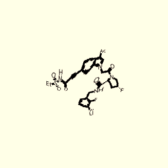 CCS(=O)(=O)NC(=O)C#Cc1ccc2c(C(C)=O)cn(CC(=O)N3C[C@H](F)C[C@H]3C(=O)NCc3cccc(Cl)c3F)c2c1